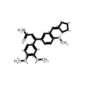 COc1ccc(C(=CC(N)=O)c2ccc(OC)c(OC)c2)cc1C=C1CCCC1